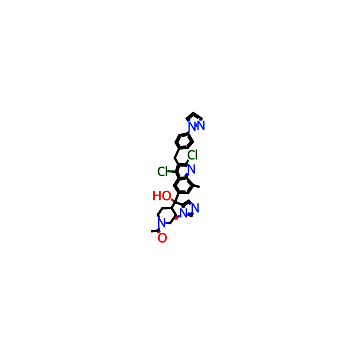 CC(=O)N1CCC(C(O)(c2cc(C)c3nc(Cl)c(Cc4ccc(-n5cccn5)cc4)c(Cl)c3c2)c2cncn2C)CC1